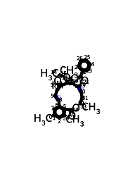 Cc1cc(C)c2c(c1)/C=C/C[C@@H]1OC(C)(C)O[C@@H]1C(OC(=O)c1ccccc1)/C(F)=C\C[C@H](C)OC2=O